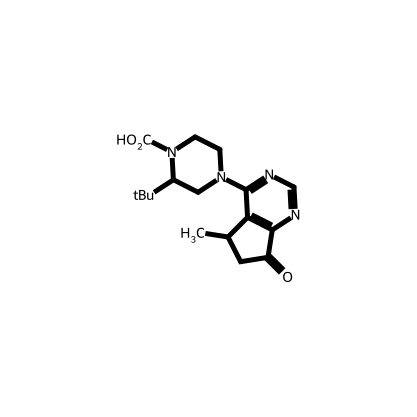 CC1CC(=O)c2ncnc(N3CCN(C(=O)O)C(C(C)(C)C)C3)c21